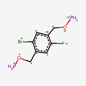 Fc1cc(COP)c(Br)cc1COP